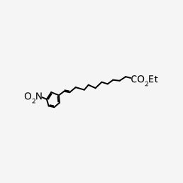 CCOC(=O)CCCCCCCCC/C=C/c1cccc([N+](=O)[O-])c1